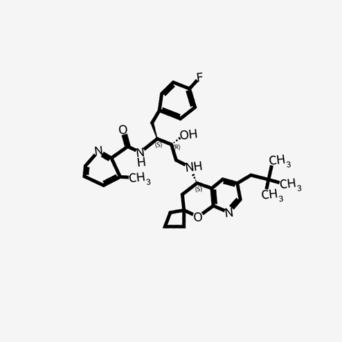 Cc1cccnc1C(=O)N[C@@H](Cc1ccc(F)cc1)[C@H](O)CN[C@H]1CC2(CCC2)Oc2ncc(CC(C)(C)C)cc21